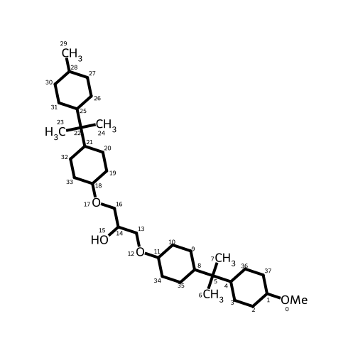 COC1CCC(C(C)(C)C2CCC(OCC(O)COC3CCC(C(C)(C)C4CCC(C)CC4)CC3)CC2)CC1